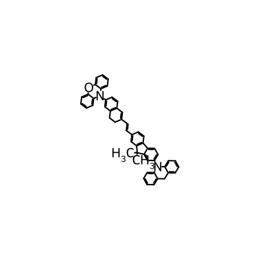 CC1(C)c2cc(/C=C/C3=Cc4ccc(N5c6ccccc6Oc6ccccc65)cc4CC3)ccc2-c2ccc(N3c4ccccc4Cc4ccccc43)cc21